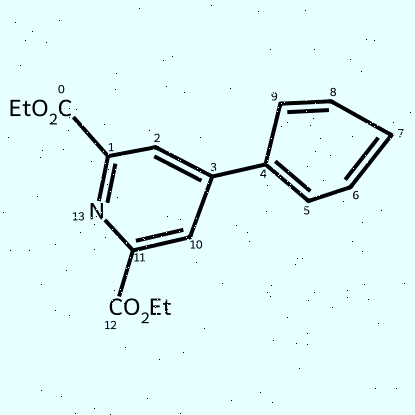 CCOC(=O)c1cc(-c2ccccc2)cc(C(=O)OCC)n1